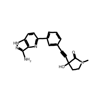 CN1CCC(O)(C#Cc2cccc(-c3ccc4[nH]nc(N)c4n3)c2)C1=O